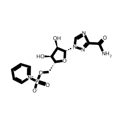 NC(=O)c1ncn([C@@H]2O[C@H](COP(=O)([O-])[n+]3ccccc3)[C@@H](O)[C@H]2O)n1